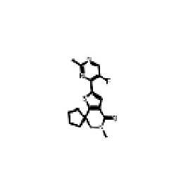 Cc1ncc(F)c(-c2cc3c(s2)C2(CCCC2)CN(C)C3=O)n1